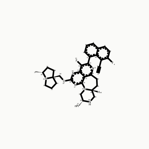 C#Cc1c(F)ccc2cccc(-c3nc4c5c(nc(OC[C@@]67CCCN6[C@H](C)CC7)nc5c3F)N3C[C@@H](CCC)NC[C@H]3CC4)c12